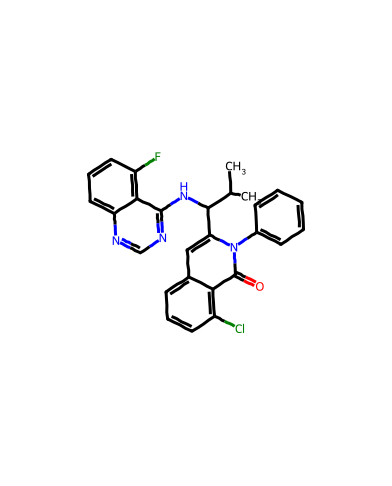 CC(C)C(Nc1ncnc2cccc(F)c12)c1cc2cccc(Cl)c2c(=O)n1-c1ccccc1